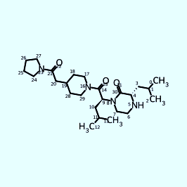 CC(C)C[C@@H]1NCCN([C@@H](CC(C)C)C(=O)N2CCC(CC(=O)N3CCCC3)CC2)C1=O